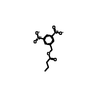 CCCC(=O)OCc1cc([N+](=O)[O-])cc([N+](=O)[O-])c1